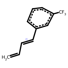 C=C/C=C/c1cccc(C(F)(F)F)c1